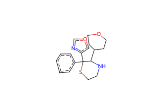 c1ccc(C2(c3cocn3)SCCNC2C2CCOCC2)cc1